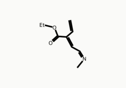 C=C/C(=C\C=N/C)C(=O)OCC